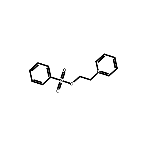 O=S(=O)(OCC[n+]1ccccc1)c1ccccc1